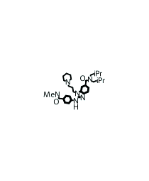 CNC(=O)c1ccc(Nc2nc3ccc(C(=O)N(CC(C)C)CC(C)C)cc3n2CCCN2CCCCC2)cc1